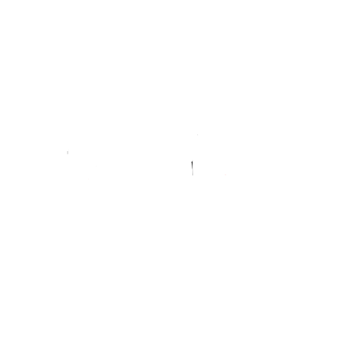 CC(C)OC(=O)CCC/C=C\C[C@H]1C(O)C[C@@H](O)[C@@H]1CCC1(CCc2ccccc2)OCCO1